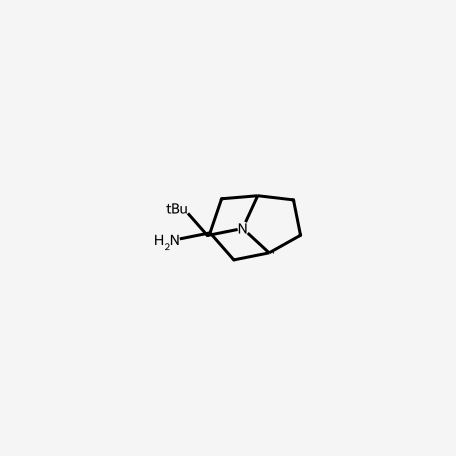 CC(C)(C)CN1[C]2CCC1CC(N)C2